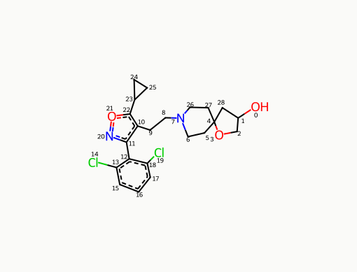 OC1COC2(CCN(CCc3c(-c4c(Cl)cccc4Cl)noc3C3CC3)CC2)C1